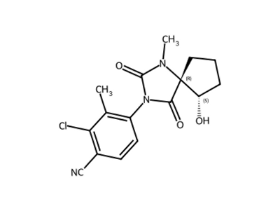 Cc1c(N2C(=O)N(C)[C@@]3(CCC[C@@H]3O)C2=O)ccc(C#N)c1Cl